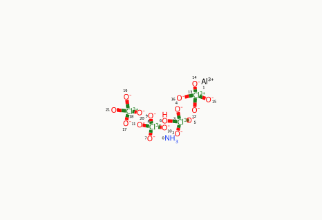 N.[Al+3].[O-][Cl+3]([O-])([O-])O.[O-][Cl+3]([O-])([O-])[O-].[O-][Cl+3]([O-])([O-])[O-].[O-][Cl+3]([O-])([O-])[O-]